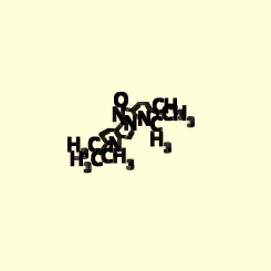 CC(C)(C)c1ccc2c(ccn3c4nc(C(C)(C)C)ccc4c(=O)nc23)n1